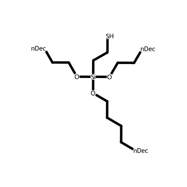 CCCCCCCCCCCCCCO[Si](CCS)(OCCCCCCCCCCCC)OCCCCCCCCCCCC